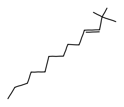 CCCCCCCCC/C=C/C(C)(C)C